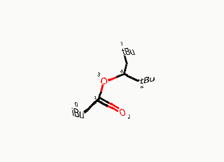 CCC(C)C(=O)OC(C(C)(C)C)C(C)(C)C